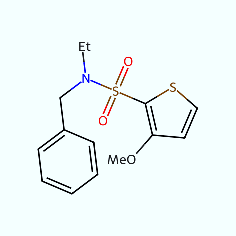 CCN(Cc1ccccc1)S(=O)(=O)c1sccc1OC